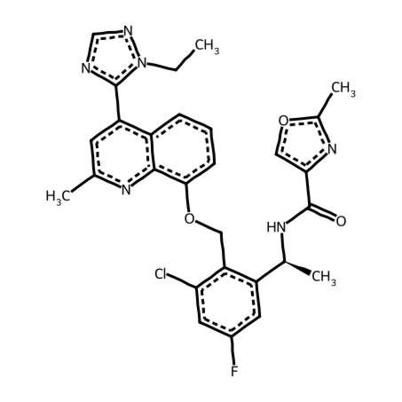 CCn1ncnc1-c1cc(C)nc2c(OCc3c(Cl)cc(F)cc3[C@H](C)NC(=O)c3coc(C)n3)cccc12